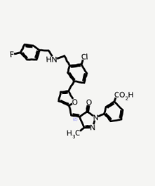 CC1=NN(c2cccc(C(=O)O)c2)C(=O)/C1=C\c1ccc(-c2ccc(Cl)c(CNCc3ccc(F)cc3)c2)o1